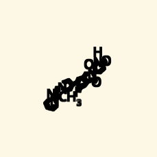 Cc1c(CN2CCC(c3cc4c(cc3F)C(=O)N(C3CCC(=O)NC3=O)C4)CC2)nc2ccccn12